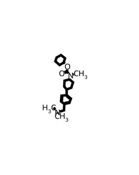 CN(C)Cc1ccc(C2CCC(N(C)C(=O)OC3CCCCC3)CC2)cc1